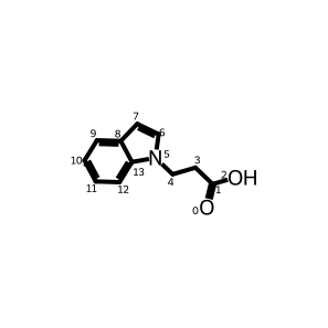 O=C(O)CCn1ccc2c[c]ccc21